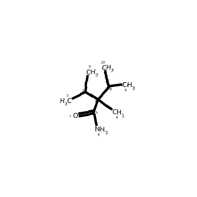 CC(C)C(C)(C(N)=O)C(C)C